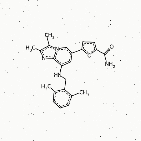 Cc1cccc(C)c1CNc1cc(-c2ccc(C(N)=O)o2)cn2c(C)c(C)nc12